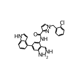 N=Cc1c(N)cc(-c2cccc3[nH]ccc23)cc1NC(=O)c1ccn(Cc2ccccc2Cl)n1